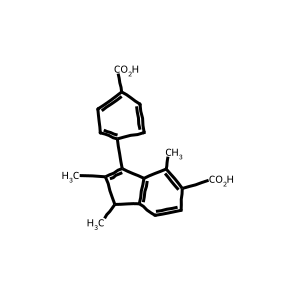 CC1=C(c2ccc(C(=O)O)cc2)c2c(ccc(C(=O)O)c2C)C1C